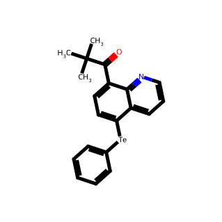 CC(C)(C)C(=O)c1ccc([Te]c2ccccc2)c2cccnc12